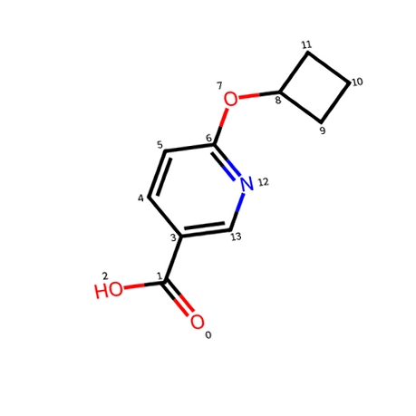 O=C(O)c1ccc(OC2CCC2)nc1